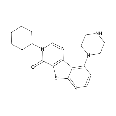 O=c1c2sc3nccc(N4CCNCC4)c3c2ncn1C1CCCCC1